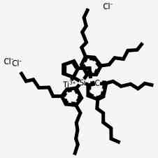 CCCCCCc1cc(CCCCCC)cc([Si](c2cc(CCCCCC)cc(CCCCCC)c2)(c2cc(CCCCCC)cc(CCCCCC)c2)[C]2([Ti+3])C=CC=C2CC)c1.[Cl-].[Cl-].[Cl-]